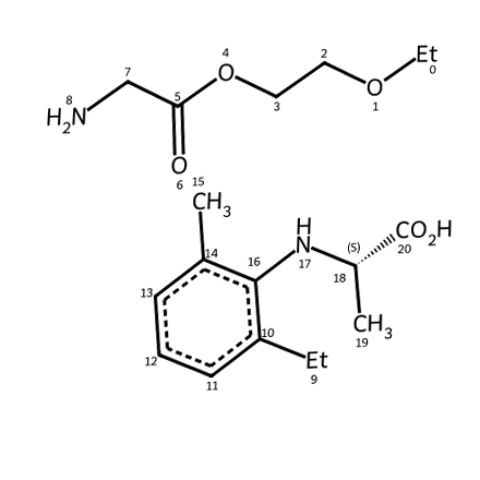 CCOCCOC(=O)CN.CCc1cccc(C)c1N[C@@H](C)C(=O)O